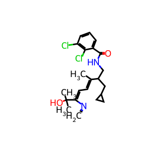 C=N/C(=C\C=C(/C)C(CNC(=O)c1cccc(Cl)c1Cl)CC1CC1)C(C)(C)O